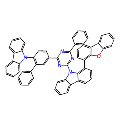 c1ccc(-c2nc(-c3ccc(-n4c5ccccc5c5ccccc54)c(-c4ccccc4)c3)nc(-n3c4ccccc4c4cccc(-c5cccc6c5oc5ccccc56)c43)n2)cc1